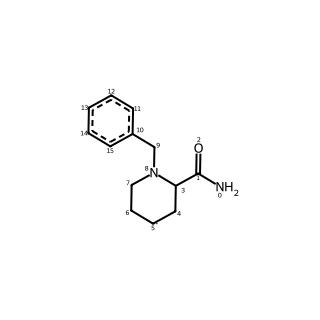 NC(=O)C1C[CH]CCN1Cc1ccccc1